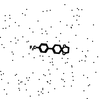 FC(F)(F)c1ccc(C2=CCC3(CC2)OCCO3)cc1